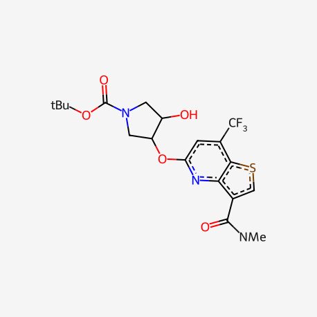 CNC(=O)c1csc2c(C(F)(F)F)cc(OC3CN(C(=O)OC(C)(C)C)CC3O)nc12